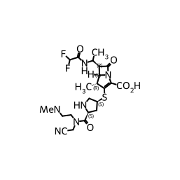 CNCCN(CC#N)C(=O)[C@@H]1C[C@H](SC2=C(C(=O)O)N3C(=O)[C@H](C(C)NC(=O)C(F)F)[C@H]3[C@H]2C)CN1